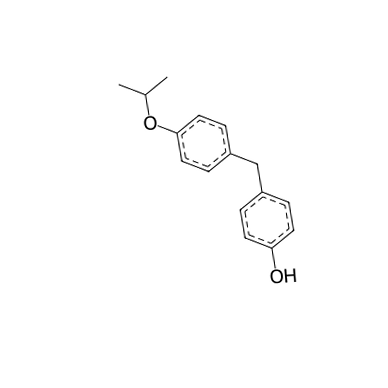 CC(C)Oc1ccc(Cc2ccc(O)cc2)cc1